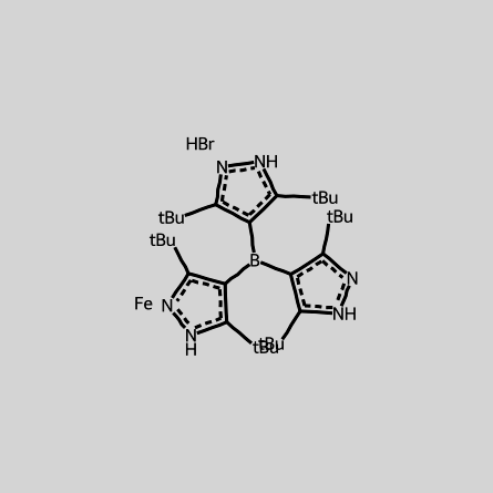 Br.CC(C)(C)c1n[nH]c(C(C)(C)C)c1B(c1c(C(C)(C)C)n[nH]c1C(C)(C)C)c1c(C(C)(C)C)n[nH]c1C(C)(C)C.[Fe]